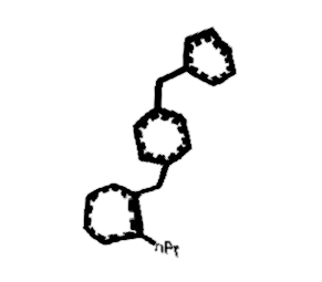 CCCc1ccccc1Cc1ccc(Cc2ccccc2)cc1